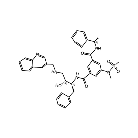 C[C@@H](NC(=O)c1cc(C(=O)N[C@@H](Cc2ccccc2)[C@H](O)CNCc2cnc3ccccc3c2)cc(N(C)S(C)(=O)=O)c1)c1ccccc1